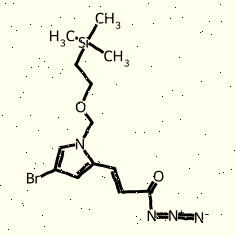 C[Si](C)(C)CCOCn1cc(Br)cc1C=CC(=O)N=[N+]=[N-]